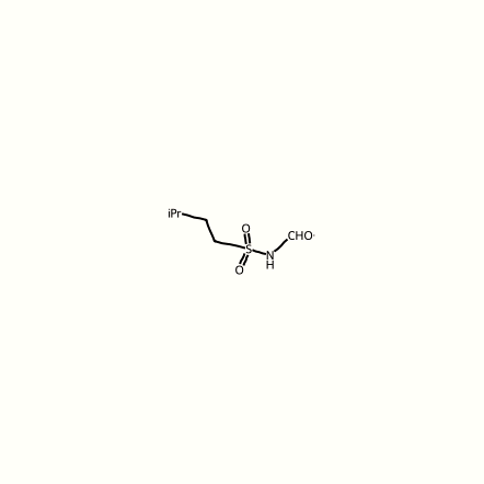 CC(C)CCS(=O)(=O)N[C]=O